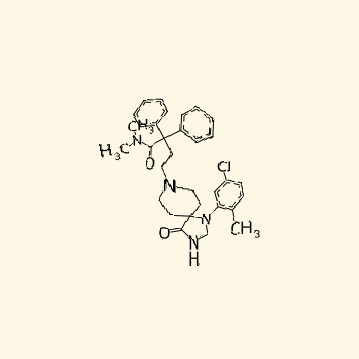 Cc1ccc(Cl)cc1N1CNC(=O)C12CCN(CCC(C(=O)N(C)C)(c1ccccc1)c1ccccc1)CC2